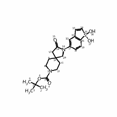 CC(C)(C)OC(=O)N1CCC2(CC1)CC(=O)N(c1ccc3c(c1)C=CS3(O)O)C2